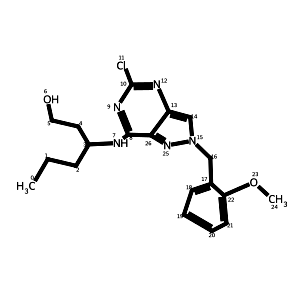 CCCC(CCO)Nc1nc(Cl)nc2cn(Cc3ccccc3OC)nc12